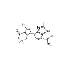 CCc1nn(-c2ccc(C(N)=O)c3[nH]c(C)nc23)c2c1C(=O)CC(C)(C)C2